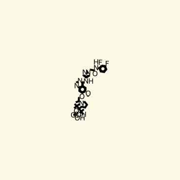 COc1cc2c(Nc3cnn(CC(=O)Nc4cccc(F)c4F)c3)ncnc2cc1OCC(C)N1CCCC1C(OP(=O)(O)O)(C(C)(C)C)C(C)(C)C